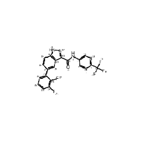 O=C(Nc1cnc(C(F)(F)F)nc1)c1n[nH]c2ccc(-c3cccc(F)c3F)cc12